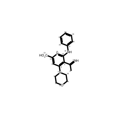 CC(=N)c1c(N2CCOCC2)cc(C(=O)O)nc1Nc1ccccc1